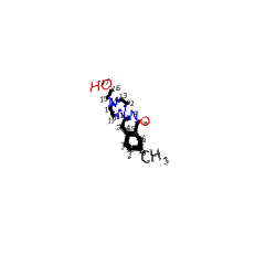 Cc1ccc2c(c1)C(=O)N=C(N1CCN(CCO)CC1)C2